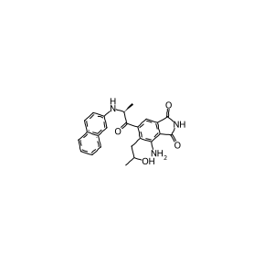 CC(O)Cc1c(C(=O)[C@H](C)Nc2ccc3ccccc3c2)cc2c(c1N)C(=O)NC2=O